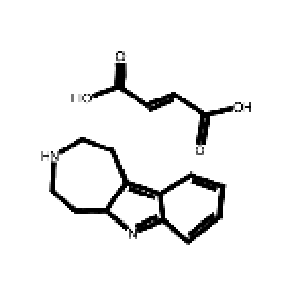 O=C(O)C=CC(=O)O.c1ccc2c(c1)=NC1CCNCCC=21